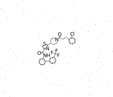 O=C(Nc1ccccc1-c1cccc(C(F)(F)F)c1)c1csc(C2CCN(C(=O)CCc3ccccc3Cl)CC2)n1